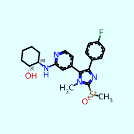 Cn1c([S+](C)[O-])nc(-c2ccc(F)cc2)c1-c1ccnc(N[C@@H]2CCCC[C@H]2O)c1